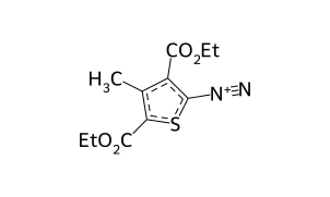 CCOC(=O)c1sc([N+]#N)c(C(=O)OCC)c1C